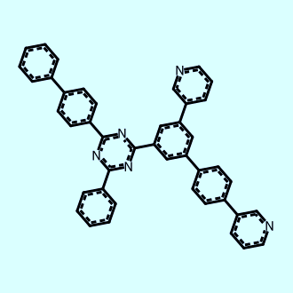 c1ccc(-c2ccc(-c3nc(-c4ccccc4)nc(-c4cc(-c5ccc(-c6cccnc6)cc5)cc(-c5cccnc5)c4)n3)cc2)cc1